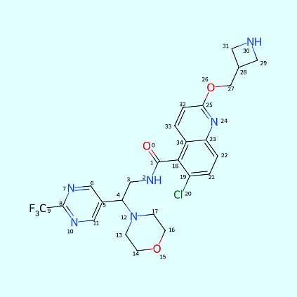 O=C(NCC(c1cnc(C(F)(F)F)nc1)N1CCOCC1)c1c(Cl)ccc2nc(OCC3CNC3)ccc12